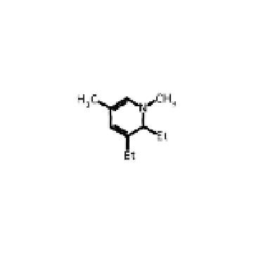 CCC1=CC(C)=CN(C)C1CC